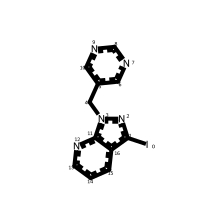 Ic1nn(Cc2cncnc2)c2ncccc12